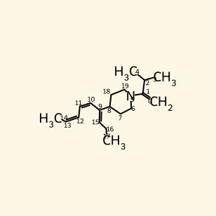 C=C(C(C)C)N1CCC(C(/C=C\C=C/C)=C\CC)CC1